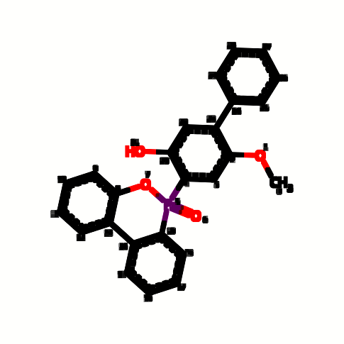 COc1cc(P2(=O)Oc3ccccc3-c3ccccc32)c(O)cc1-c1ccccc1